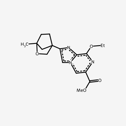 CCOc1nc(C(=O)OC)cn2cc(C34CCC(C)(C3)OC4)nc12